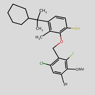 COc1c(C(C)C)cc(Cl)c(COc2c(S)ccc(C(C)(C)C3CCCCC3)c2C)c1F